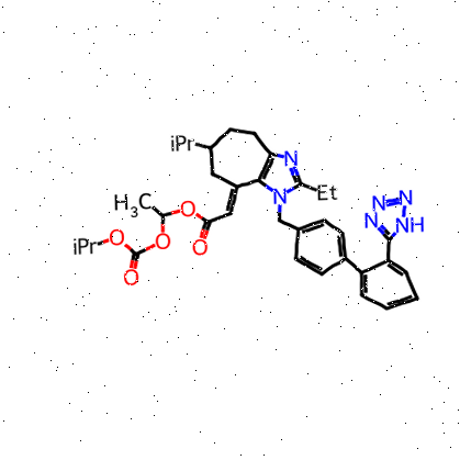 CCc1nc2c(n1Cc1ccc(-c3ccccc3-c3nnn[nH]3)cc1)C(=CC(=O)OC(C)OC(=O)OC(C)C)CC(C(C)C)CC2